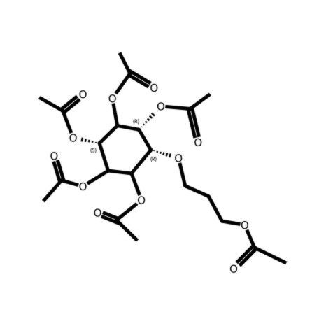 CC(=O)OCCCO[C@@H]1C(OC(C)=O)C(OC(C)=O)[C@H](OC(C)=O)C(OC(C)=O)[C@@H]1OC(C)=O